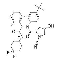 Cc1ccnc(C)c1C(C(=O)NC1CCC(F)(F)CC1)N(C(=O)C1CC(O)CN1C#N)c1ccc(C(C)(C)C)cc1